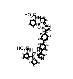 O=C(O)N[C@H]1CCC[C@@H]1C(=O)N1CCC[C@H]1c1ncc(-c2ccc(-c3ccc(-c4cnc([C@@H]5CCCN5C(=O)[C@H]5CCC[C@@H]5NC(=O)O)[nH]4)cc3)cc2)[nH]1